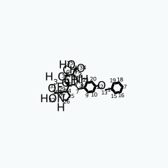 CC(C)(C)C(N[C@@H](Cc1ccc(OCc2ccccc2)cc1)C(=O)C1CCN[C@]1(F)C(=O)O)C(=O)O